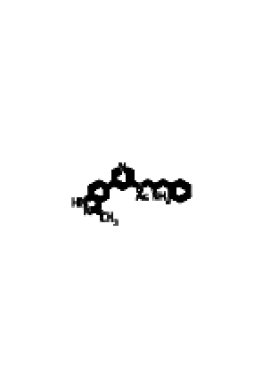 CC(=O)N(C[C@@H](N)Cc1ccccc1)c1cncc(-c2ccc3[nH]nc(C)c3c2)c1